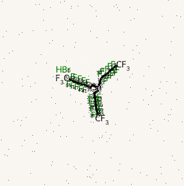 Br.FC(F)(F)C(F)(F)C(F)(F)C(F)(F)C(F)(F)C(F)(F)C[CH2][Sn]([CH2]CC(F)(F)C(F)(F)C(F)(F)C(F)(F)C(F)(F)C(F)(F)F)[CH2]CC(F)(F)C(F)(F)C(F)(F)C(F)(F)C(F)(F)C(F)(F)F